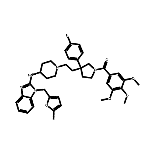 COc1cc(C(=O)N2CCC(CCN3CCC(Nc4nc5ccccc5n4Cc4ccc(C)o4)CC3)(c3ccc(F)cc3)C2)cc(OC)c1OC